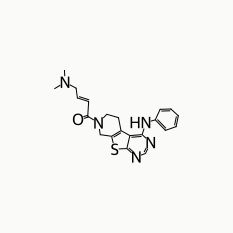 CN(C)CC=CC(=O)N1CCc2c(sc3ncnc(Nc4ccccc4)c23)C1